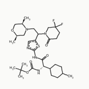 CC1CCC([C@H](NC(=O)OC(C)(C)C)C(=O)Nc2ncc(C(CN3C[C@@H](C)OC[C@H]3C)N3CC(F)(F)CCC3=O)s2)CC1